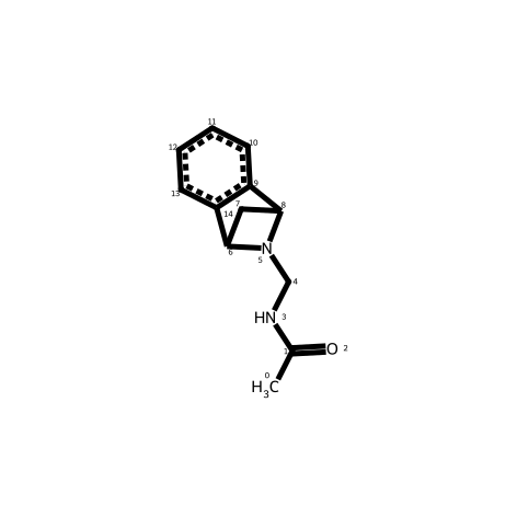 CC(=O)NCN1C2CC1c1ccccc12